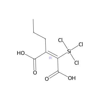 CCC/C(C(=O)O)=C(/C(=O)O)[Si](Cl)(Cl)Cl